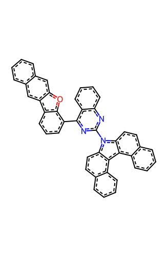 c1ccc2cc3c(cc2c1)oc1c(-c2nc(-n4c5ccc6ccccc6c5c5c6ccccc6ccc54)nc4ccccc24)cccc13